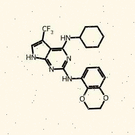 FC(F)(F)c1c[nH]c2nc(Nc3cc[c]c4c3OCCO4)nc(NC3CCCCC3)c12